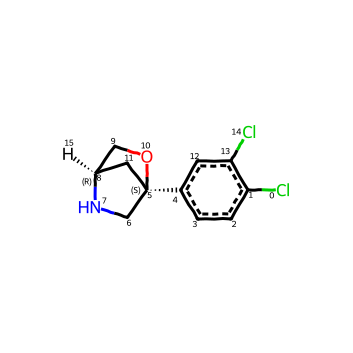 Clc1ccc([C@@]23CN[C@@H](CO2)C3)cc1Cl